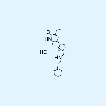 CCc1cc(-c2ccc(CNCCC3=CCCCC3)s2)c(C)[nH]c1=O.Cl